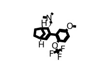 COc1ccc(OC(F)(F)F)c(C2=C[C@H]3CC[C@H](C3)[C@@H]2CN(C)C)c1